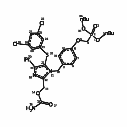 CCCCOP(=O)(COc1ccc(Cn2c(COC(N)=O)nc(C(C)C)c2Sc2cc(Cl)cc(Cl)c2)cc1)OCCCC